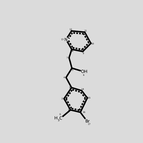 Cc1cc(CC(O)Cc2ccccn2)ccc1Br